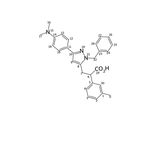 Cc1cccc(C(Cc2cc(-c3ccc(N(C)C)cc3)nn2Cc2ccccc2)C(=O)O)c1